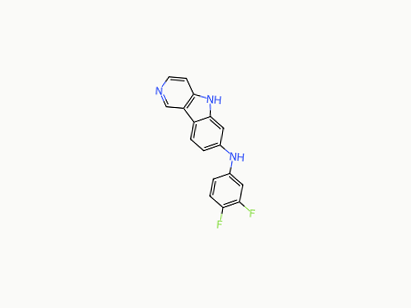 Fc1ccc(Nc2ccc3c(c2)[nH]c2ccncc23)cc1F